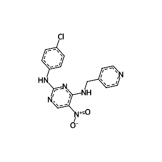 O=[N+]([O-])c1cnc(Nc2ccc(Cl)cc2)nc1NCc1ccncc1